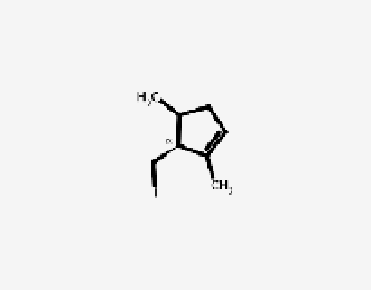 CC1=CCC(C)[C@@H]1CI